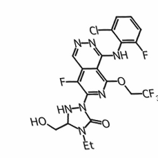 CCN1C(=O)N(c2nc(OCC(F)(F)F)c3c(Nc4c(F)cccc4Cl)nncc3c2F)NC1CO